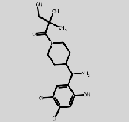 CC(O)(CO)C(=O)N1CCC([C@@H](N)c2cc(Cl)c(Cl)cc2O)CC1